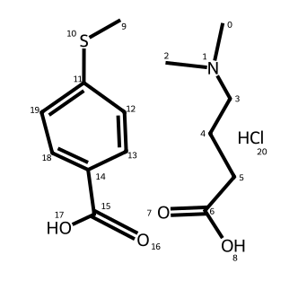 CN(C)CCCC(=O)O.CSc1ccc(C(=O)O)cc1.Cl